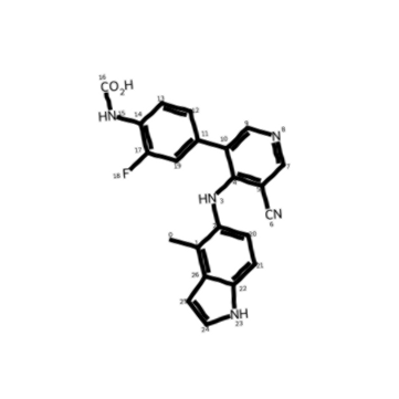 Cc1c(Nc2c(C#N)cncc2-c2ccc(NC(=O)O)c(F)c2)ccc2[nH]ccc12